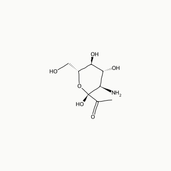 CC(=O)[C@]1(O)O[C@H](CO)[C@@H](O)[C@H](O)[C@H]1N